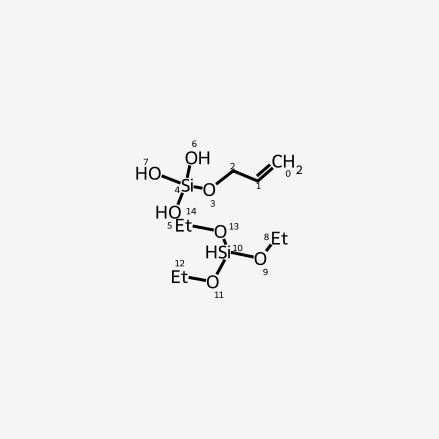 C=CCO[Si](O)(O)O.CCO[SiH](OCC)OCC